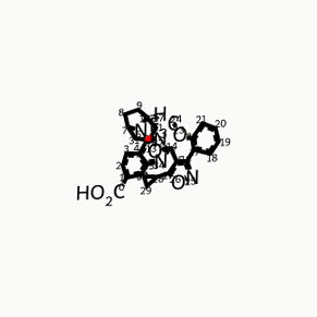 O=C(O)c1ccc2c(N3C4CC[C@H]3CC(OCc3c(-c5ccccc5OC(F)(F)F)noc3C3CC3)C4)ncnc2c1